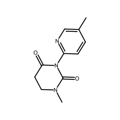 Cc1ccc(N2C(=O)CCN(C)C2=O)nc1